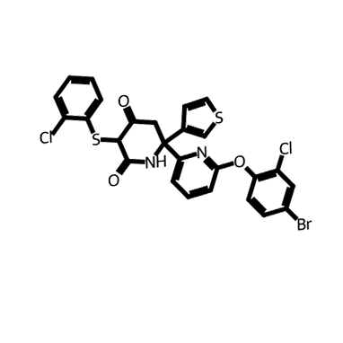 O=C1CC(c2ccsc2)(c2cccc(Oc3ccc(Br)cc3Cl)n2)NC(=O)C1Sc1ccccc1Cl